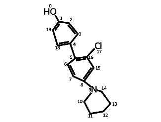 Oc1ccc(-c2ccc(N3CCCCC3)cc2Cl)cc1